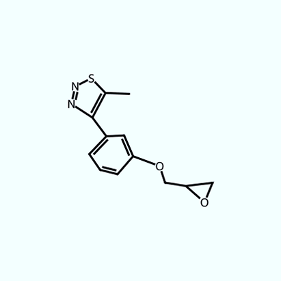 Cc1snnc1-c1cccc(OCC2CO2)c1